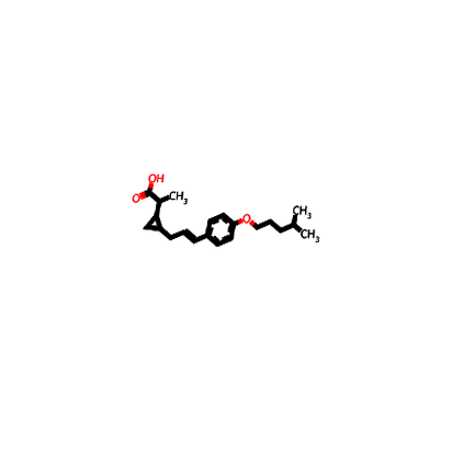 CC(C)CCCOc1ccc(C=CCC2CC2C(C)C(=O)O)cc1